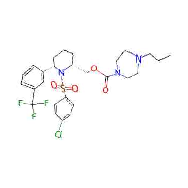 CCCN1CCN(C(=O)OC[C@H]2CCC[C@@H](c3cccc(C(F)(F)F)c3)N2S(=O)(=O)c2ccc(Cl)cc2)CC1